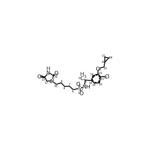 C[C@@H](NS(=O)(=O)CCCCCN1CC(=O)NC1=O)c1ccc(Cl)c(OCC2CC2)c1